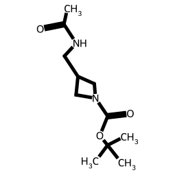 CC(=O)NCC1CN(C(=O)OC(C)(C)C)C1